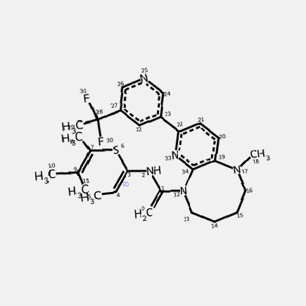 C=C(N/C(=C/C)SC(C)=C(C)C)N1CCCCN(C)c2ccc(-c3cncc(C(C)(F)F)c3)nc21